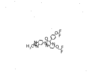 Cn1nc2ccc(-n3nc4ccc(OCC(F)F)nc4c(-c4ccc(OC(F)F)cc4)c3=O)cc2n1